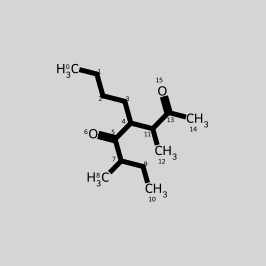 CCCCC(C(=O)C(C)CC)C(C)C(C)=O